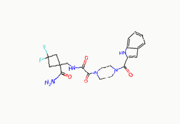 NC(=O)C1(CNC(=O)C(=O)N2CCN(C(=O)c3cc4ccccc4[nH]3)CC2)CC(F)(F)C1